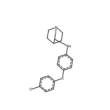 Clc1ccc(Oc2ccc(NC3CN4CCC3CC4)cc2)cc1